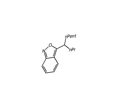 CCCCCC(CCC)c1onc2ccccc12